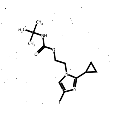 CC(C)(C)NC(=O)OCCn1cc(I)nc1C1CC1